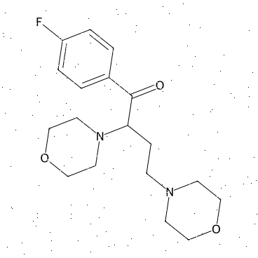 O=C(c1ccc(F)cc1)C(CCN1CCOCC1)N1CCOCC1